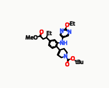 CCOc1ncc(Nc2cc(C(CC)CC(=O)OC)ccc2C2=CCN(C(=O)OC(C)(C)C)CC2)cn1